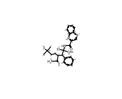 CCC(NC(=O)c1cnc2ccccc2n1)(OC(C)=O)C(c1ccccc1)C(CCC(C)(C)F)C(N)=S